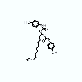 CCCCCCCCCCCCCCCCCCC(OC(=O)Nc1ccc(O)cc1)OC(=O)Nc1ccc(O)cc1